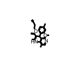 C#CCCOC(=C)C1=C(C)Nc2c(C)cnc(C)c2C1c1ccc(C)cc1OC